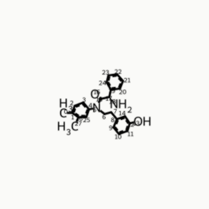 Cc1ccc(N(CCc2cccc(O)c2)C(=O)[C@@H](N)c2ccccc2)cc1C